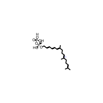 CC(C)=CCC/C(C)=C/CCC(C)=CC=CC=CCOP(=O)(O)OP(=O)(O)O